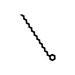 [CH2]CCCCCCCCCCCCCCCCCCCCC1CCCCC1